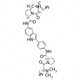 CC(C)C[C@H](C(=O)N1CCC[C@H]1C(=O)Nc1ccc(-c2cc3cc(NC(=O)[C@@H]4CCCN4C(=O)[C@@H](CC(C)C)N(C)C)ccc3[nH]2)cc1)N(C)C